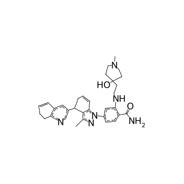 Cc1nn(-c2ccc(C(N)=O)c(NCCC3(O)CCN(C)CC3)c2)c2c1C(c1cnc3c(c1)C=CCC3)CC=C2